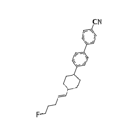 N#Cc1ccc(-c2ccc(C3CCC(C=CCCCF)CC3)cc2)cc1